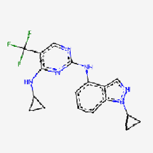 FC(F)(F)c1cnc(Nc2cccc3c2cnn3C2CC2)nc1NC1CC1